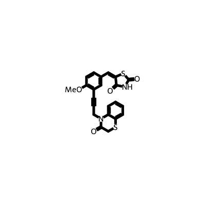 COc1ccc(C=C2SC(=O)NC2=O)cc1C#CCN1C(=O)CSc2ccccc21